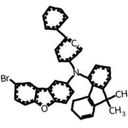 CC1(C)C2=C(CCC=C2)c2c(N(c3ccc(-c4ccccc4)cc3)c3ccc4oc5ccc(Br)cc5c4c3)cccc21